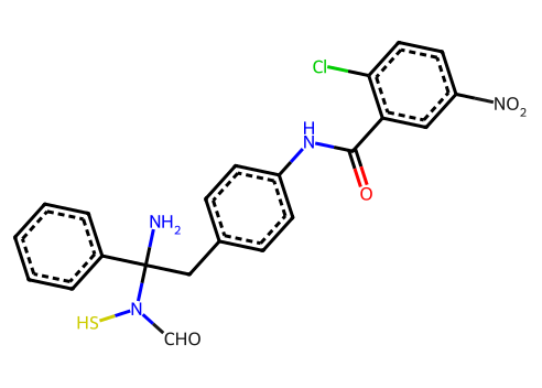 NC(Cc1ccc(NC(=O)c2cc([N+](=O)[O-])ccc2Cl)cc1)(c1ccccc1)N(S)C=O